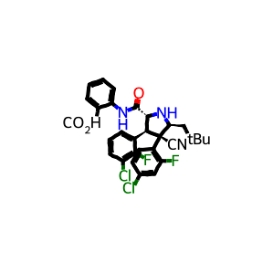 CC(C)(C)C[C@@H]1N[C@@H](C(=O)Nc2ccccc2C(=O)O)[C@H](c2cccc(Cl)c2F)[C@@]1(C#N)c1ccc(Cl)cc1F